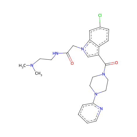 CN(C)CCNC(=O)Cn1cc(C(=O)N2CCN(c3ccccn3)CC2)c2ccc(Cl)cc21